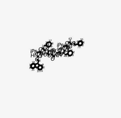 CC(C)[C@H](NC(=O)OCC1c2ccccc2-c2ccccc21)C(=O)O[C@H](CC1CCCCC1)C(=O)N[C@@H](C(=O)O[C@@H](C)C(=O)N[C@H](C(=O)O[C@H](CC1CCCCC1)C(=O)N[C@@H](C(=O)O[C@@H](C)C(=O)OCc1ccccc1)C(C)C)C(C)C)C(C)C